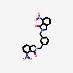 O=C1c2c(cccc2[N+](=O)[O-])CN1Cc1cccc(CN2Cc3cccc([N+](=O)[O-])c3C2=O)c1